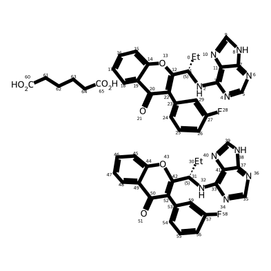 CC[C@H](Nc1ncnc2[nH]cnc12)c1oc2ccccc2c(=O)c1-c1cccc(F)c1.CC[C@H](Nc1ncnc2[nH]cnc12)c1oc2ccccc2c(=O)c1-c1cccc(F)c1.O=C(O)CCCCC(=O)O